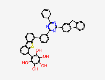 Oc1c(O)c(O)c(-c2cccc3c2sc2c(-c4cccc(-c5nc(-c6ccc7c(c6)Cc6ccccc6-7)nc(C6C=CC=CC6)n5)c4)cccc23)c(O)c1O